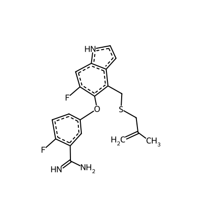 C=C(C)CSCc1c(Oc2ccc(F)c(C(=N)N)c2)c(F)cc2[nH]ccc12